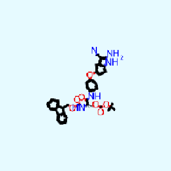 CC(C)(C)OC(=O)OC[C@H](NC(=O)OCC1c2ccccc2-c2ccccc21)C(=O)Nc1ccc(Oc2ccc3[nH]c(N)c(C#N)c3c2)cc1